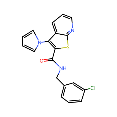 O=C(NCc1cccc(Cl)c1)c1sc2ncccc2c1-n1cccc1